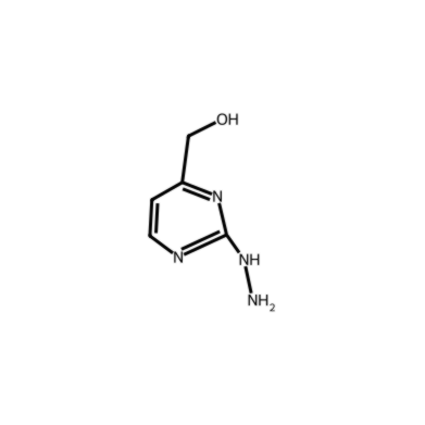 NNc1nccc(CO)n1